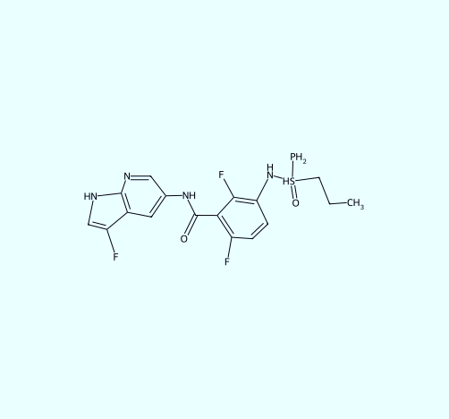 CCC[SH](=O)(P)Nc1ccc(F)c(C(=O)Nc2cnc3[nH]cc(F)c3c2)c1F